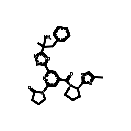 Cc1csc([C@H]2CCCN2C(=O)c2cc(-c3nnc(C(C)(N)Cc4ccccc4)o3)nc(N3CCCC3=O)c2)n1